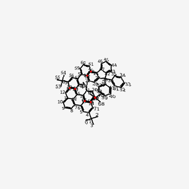 CC(C)(C)c1cc(-c2cccc3cccc(-c4ccccc4N(c4ccc5c(c4)C(c4ccccc4)(c4ccccc4)c4ccccc4-5)c4ccc(C(C)(C)C)cc4-c4ccccc4)c23)cc(C(C)(C)C)c1